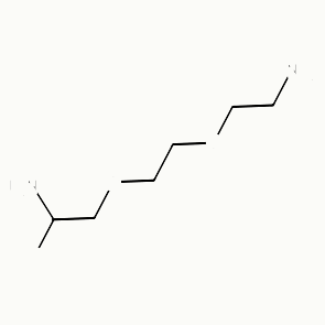 CCC(N)COCCOCCN